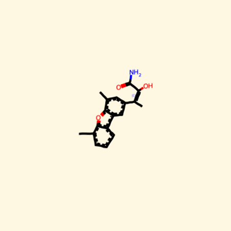 C/C(=C(\O)C(N)=O)c1cc(C)c2oc3c(C)cccc3c2c1